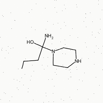 CCCC(N)(O)N1CCNCC1